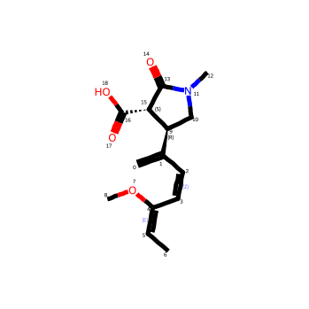 C=C(/C=C\C(=C/C)OC)[C@@H]1CN(C)C(=O)[C@H]1C(=O)O